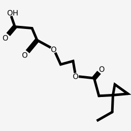 CCC1(CC(=O)OCCOC(=O)CC(=O)O)CC1